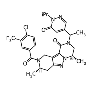 CC(c1cnn(C(C)C)c(=O)c1)N1C[C@@H](C)n2nc3c(c2C1=O)CN(C(=O)c1ccc(Cl)c(C(F)(F)F)c1)[C@H](C)C3